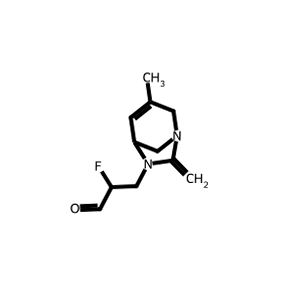 C=C1N2CC(C)=CC(C2)N1CC(F)C=O